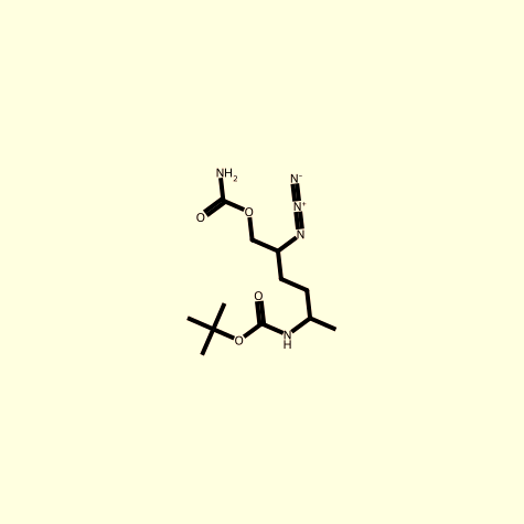 CC(CCC(COC(N)=O)N=[N+]=[N-])NC(=O)OC(C)(C)C